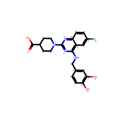 O=C(O)C1CCN(c2nc(NCc3ccc(O)c(O)c3)c3cc(Cl)ccc3n2)CC1